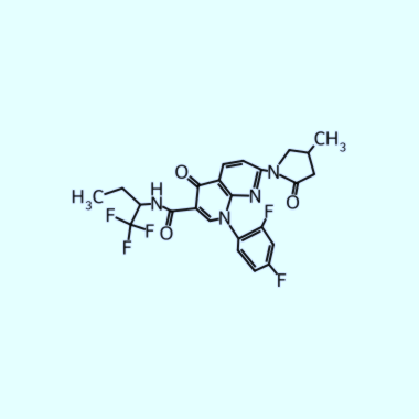 CCC(NC(=O)c1cn(-c2ccc(F)cc2F)c2nc(N3CC(C)CC3=O)ccc2c1=O)C(F)(F)F